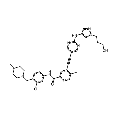 Cc1ccc(C(=O)Nc2ccc(CN3CCN(C)CC3)c(Cl)c2)cc1C#Cc1cnc(Nc2cnn(CCCO)c2)nc1